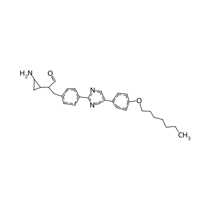 CCCCCCCOc1ccc(-c2cnc(-c3ccc(CC(C=O)C4CC4N)cc3)nc2)cc1